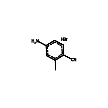 Br.Cc1cc(N)ccc1C#N